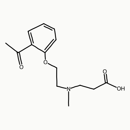 CC(=O)c1ccccc1OCCN(C)CCC(=O)O